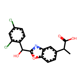 CC(C(=O)O)c1ccc2oc(C(O)c3ccc(Cl)cc3Cl)nc2c1